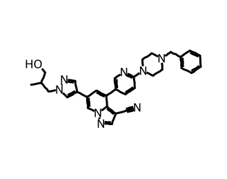 CC(CO)Cn1cc(-c2cc(-c3ccc(N4CCN(Cc5ccccc5)CC4)nc3)c3c(C#N)cnn3c2)cn1